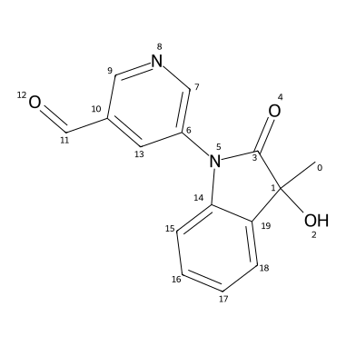 CC1(O)C(=O)N(c2cncc(C=O)c2)c2ccccc21